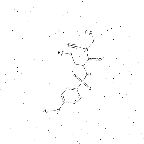 CCN(C#N)C(=O)C(CSC)NS(=O)(=O)c1ccc(OC)cc1